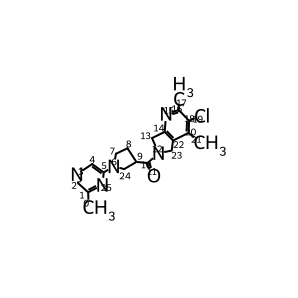 Cc1cncc(N2CCC(C(=O)N3Cc4nc(C)c(Cl)c(C)c4C3)C2)n1